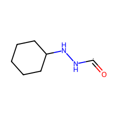 O=[C]NNC1CCCCC1